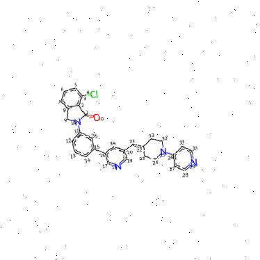 O=C1c2c(Cl)cccc2CN1c1cccc(-c2cncc(C=C3CCN(c4ccncc4)CC3)c2)c1